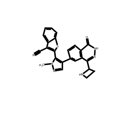 Cn1ncc(-c2ccc3c(=O)[nH]nc(C4CCN4)c3c2)c1-c1sc2ccccc2c1C#N